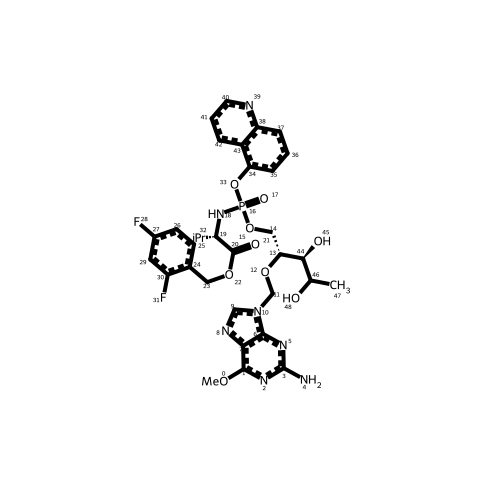 COc1nc(N)nc2c1ncn2CO[C@H](COP(=O)(N[C@H](C(=O)OCc1ccc(F)cc1F)C(C)C)Oc1cccc2ncccc12)[C@@H](O)C(C)O